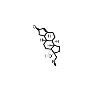 C=NC[C@]1(O)CC[C@H]2[C@@H]3CCC4=CC(=O)C[C@@H]4[C@H]3CC[C@@]21C